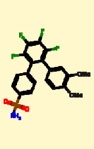 COc1ccc(-c2c(F)c(F)c(F)c(F)c2-c2ccc(S(N)(=O)=O)cc2)cc1OC